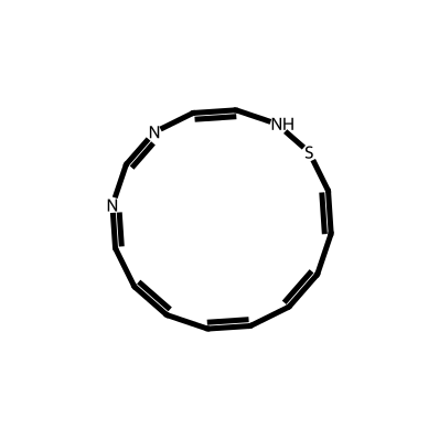 c1ccccncncc[nH]scccc1